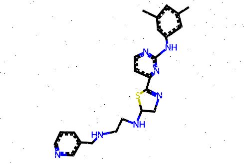 Cc1cc(C)cc(Nc2nccc(C3=NCC(NCCNCc4cccnc4)S3)n2)c1